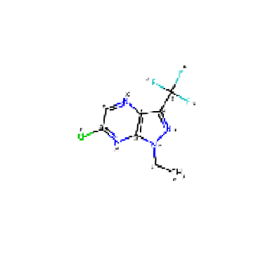 CCn1nc(C(F)(F)F)c2ncc(Cl)nc21